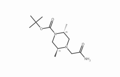 C[C@@H]1CN(CC(N)=O)[C@@H](C)CN1C(=O)OC(C)(C)C